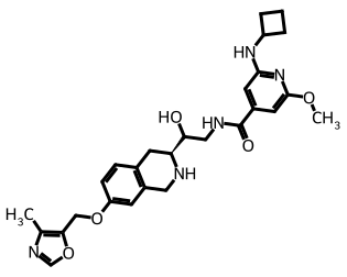 COc1cc(C(=O)NCC(O)[C@@H]2Cc3ccc(OCc4ocnc4C)cc3CN2)cc(NC2CCC2)n1